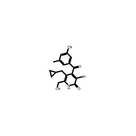 Cc1cc(C#N)cc(C(=O)c2c(CC3CC3)c(CC#N)[nH]c(=O)c2C(C)C)c1